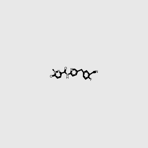 Cn1nc(C(=O)Nc2ccc(Cc3ccc(F)c(C#N)c3)cn2)ccc1=O